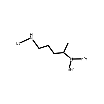 CCCN(CCC)C(C)CCCNCC